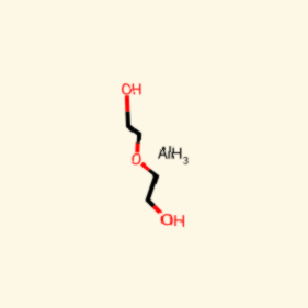 OCCOCCO.[AlH3]